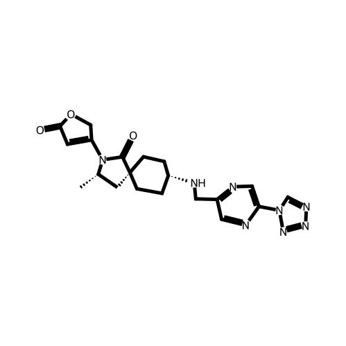 C[C@H]1C[C@]2(CC[C@@H](NCc3cnc(-n4cnnn4)cn3)CC2)C(=O)N1C1=CC(=O)OC1